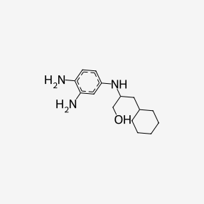 Nc1ccc(NC(CO)CC2CCCCC2)cc1N